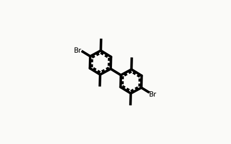 Cc1cc(-c2cc(C)c(Br)cc2C)c(C)cc1Br